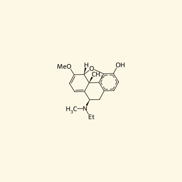 CCN(C)[C@@H]1Cc2ccc(O)c3c2[C@]2(C)C1=CC=C(OC)[C@@H]2O3